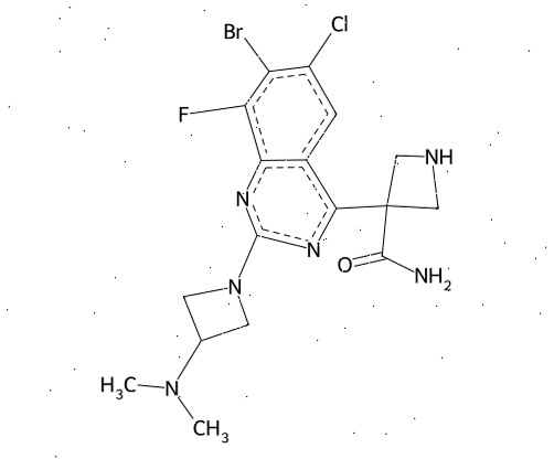 CN(C)C1CN(c2nc(C3(C(N)=O)CNC3)c3cc(Cl)c(Br)c(F)c3n2)C1